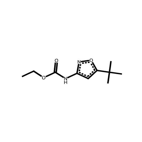 CCOC(=O)Nc1cc(C(C)(C)C)on1